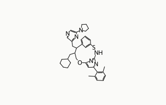 Cc1cccc(C)c1-c1cc2nc(n1)NSc1cccc(c1)C(Cc1cncc(N3CCCC3)n1)C(CC1CCCCC1)CO2